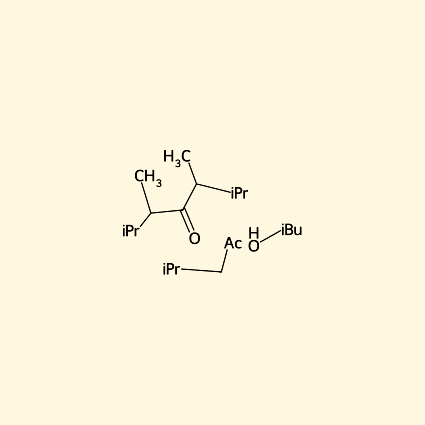 CC(=O)CC(C)C.CC(C)C(C)C(=O)C(C)C(C)C.CCC(C)O